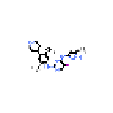 Cc1cc(Nc2nc(Nc3cc(C)c(C4CCNCC4)cc3C)ncc2I)n[nH]1